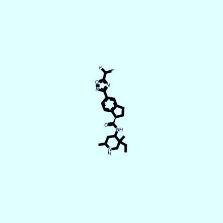 CCC1(C)CNC(C)CC1NC(=O)[C@@H]1CCc2cc(-c3noc(C(F)F)n3)ccc21